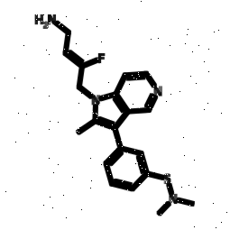 Cc1c(-c2cccc(SN(C)C)c2)c2cnccc2n1C/C(F)=C/CN